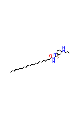 CCC=CCC=CCC=CCC=CCC=CCC=CCCC(=O)Nc1nc2c(s1)CC(NCCC)CC2